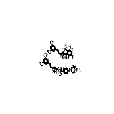 COc1cc(CCc2cc(-c3cc(F)ccc3C(N)=O)[nH]n2)cc(OC)c1.COc1cc(CCc2cc(NC(=O)c3ccc(N4CCNC(C)(C)C4)cc3)[nH]n2)cc(OC)c1